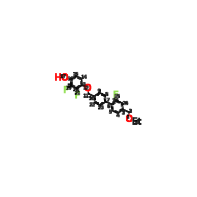 CCOCc1ccc(-c2ccc(COc3ccc(O)c(F)c3F)cc2)c(F)c1